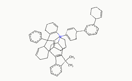 CC1(C)C2=C(CCC(N(C3=CCC(c4cccc(C5C=CCCC5)c4)C=C3)C3=C(C4(c5ccccc5)C5=C(CCCC5)C5CCC=CC54)CCC=C3)C2)c2ccccc21